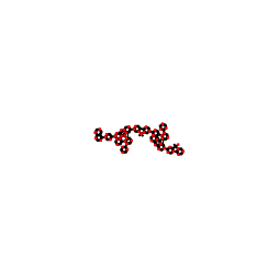 CC1(C)c2ccccc2-c2ccc(-c3cccc(N(c4ccccc4)c4cccc(-c5ccccc5)c4-c4ccc(-c5ccc6c(c5)C(C)(C)c5cc(-c7cccc(N(c8ccc(-c9ccc(-c%10cccc%11ccccc%10%11)cc9)cc8)c8cccc(-c9ccccc9)c8-c8ccccc8-c8ccccc8)c7)ccc5-6)cc4-c4ccccc4)c3)cc21